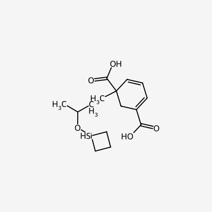 CC(C)O[SiH]1CCC1.CC1(C(=O)O)C=CC=C(C(=O)O)C1